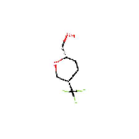 OC[C@@H]1CC[C@@H](C(F)(F)F)CO1